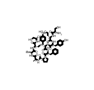 CC[C@H](C)[C@H](NC(=O)[C@H](C)NC(=O)[C@@H]1CCCN1C(=O)[C@H](Cc1ccccc1)NC(=O)[C@H](Cc1ccc(O)cc1)NC(=O)[C@H](Cc1ccc(O)cc1)NC(=O)[C@H](CCC(=O)O)NC(=O)[C@@H](N)CS)C(=O)N[C@@H](CC(C)C)C(=O)N[C@@H](CS)C(=O)O